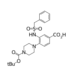 CC(C)(C)OC(=O)N1CCN(c2ccc(C(=O)O)cc2NS(=O)(=O)Cc2ccccc2)CC1